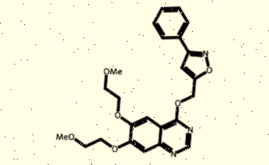 COCCOc1cc2ncnc(OCc3cc(-c4ccccc4)no3)c2cc1OCCOC